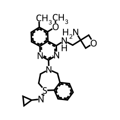 COc1c(C)ccc2nc(N3CCS(=NC4CC4)c4ccccc4C3)nc(NCC3(N)COC3)c12